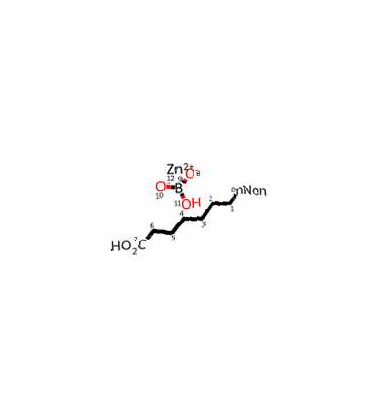 CCCCCCCCCCCCCCCC(=O)O.[O-]B([O-])O.[Zn+2]